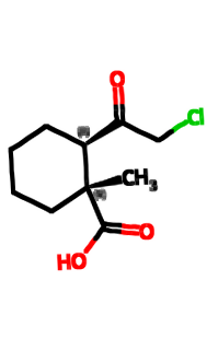 C[C@@]1(C(=O)O)CCCC[C@H]1C(=O)CCl